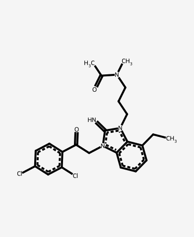 CCc1cccc2c1n(CCCN(C)C(C)=O)c(=N)n2CC(=O)c1ccc(Cl)cc1Cl